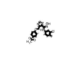 CS(=O)(=O)c1ccc(OCc2nonc2/C(=N\O)Nc2ccc(F)c(Cl)c2)cc1